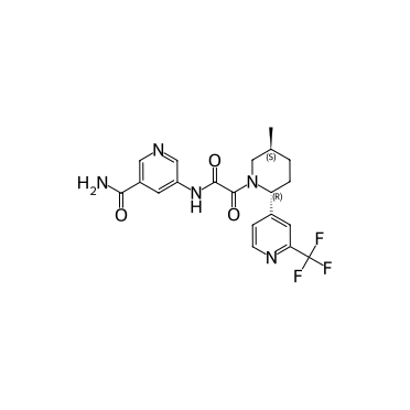 C[C@H]1CC[C@H](c2ccnc(C(F)(F)F)c2)N(C(=O)C(=O)Nc2cncc(C(N)=O)c2)C1